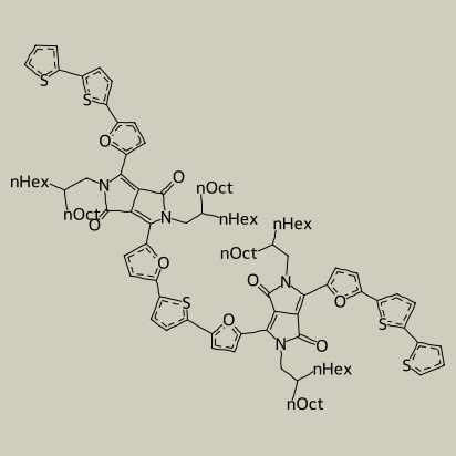 CCCCCCCCC(CCCCCC)CN1C(=O)C2=C(c3ccc(-c4ccc(-c5cccs5)s4)o3)N(CC(CCCCCC)CCCCCCCC)C(=O)C2=C1c1ccc(-c2ccc(-c3ccc(C4=C5C(=O)N(CC(CCCCCC)CCCCCCCC)C(c6ccc(-c7ccc(-c8cccs8)s7)o6)=C5C(=O)N4CC(CCCCCC)CCCCCCCC)o3)s2)o1